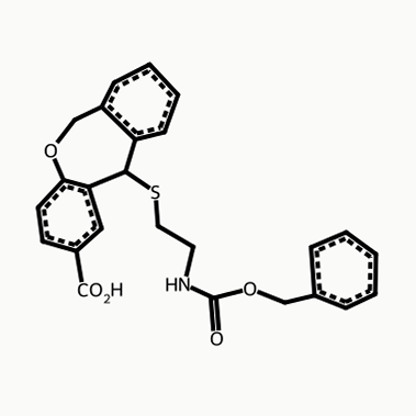 O=C(NCCSC1c2ccccc2COc2ccc(C(=O)O)cc21)OCc1ccccc1